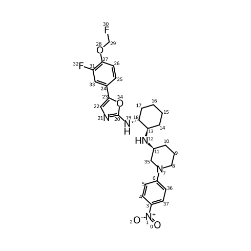 O=[N+]([O-])c1ccc(N2CCC[C@H](N[C@@H]3CCCC[C@H]3Nc3ncc(-c4ccc(OCF)c(F)c4)o3)C2)cc1